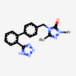 CCC(C)c1nn(C(C)C)c(=O)n1Cc1ccc(-c2ccccc2-c2nnn[nH]2)cc1